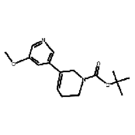 COc1cncc(C2=CCCN(C(=O)OC(C)(C)C)C2)c1